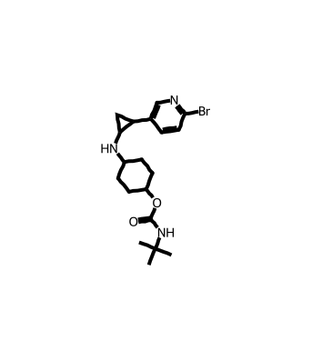 CC(C)(C)NC(=O)OC1CCC(NC2CC2c2ccc(Br)nc2)CC1